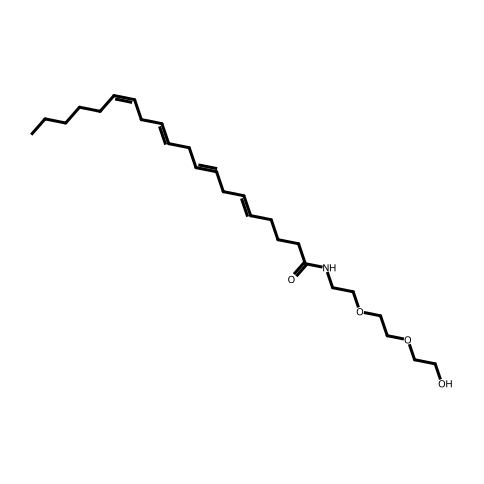 CCCCC/C=C\CC=CCC=CCC=CCCCC(=O)NCCOCCOCCO